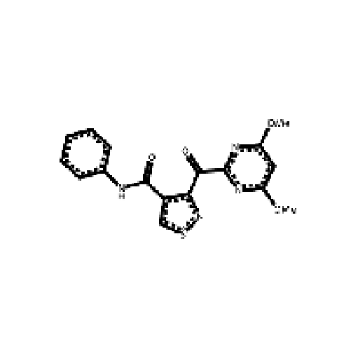 COc1cc(OC)nc(C(=O)c2nscc2C(=O)Nc2ccccc2)n1